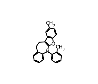 Cc1ccc2oc3c(c2c1)CCc1ccccc1N3c1ccccc1C